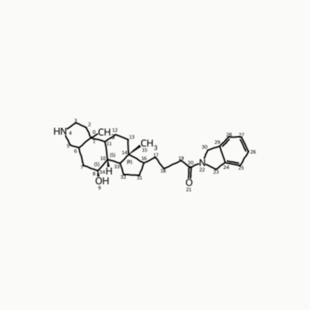 CC12CCNCC1C[C@H](O)[C@@H]1C2CC[C@]2(C)C(CCCC(=O)N3Cc4ccccc4C3)CCC12